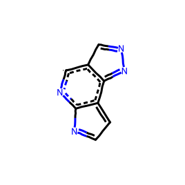 [c]1nc2c(c3c1C=NN=3)=CC=N2